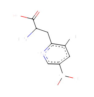 Cc1cc(B(O)O)cnc1CC(N)C(=O)O